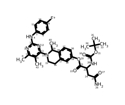 Cc1nc(Nc2ccc(F)cc2)nc(N2CCc3cc(OC(=O)C(CC(N)=O)NC(=O)OC(C)(C)C)ccc3C2C)c1C